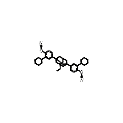 CCC12CC3CC(c4ccc(OC#N)c(C5CCCCC5)c4)(C1)CC(c1ccc(OC#N)c(C4CCCCC4)c1)(C3)C2